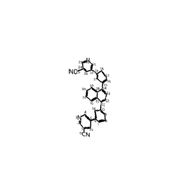 N#Cc1cncc(-c2cccc(-c3ccc(-c4cccc(-c5cncc(C#N)c5)c4)c4ccccc34)c2)c1